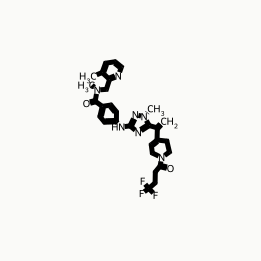 C=C(C1=CCN(C(=O)CCC(F)(F)F)CC1)c1nc(Nc2ccc(C(=O)N(C)Cc3ncccc3C)cc2)nn1C